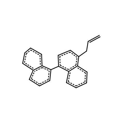 C=CCc1ccc(-c2cccc3ccccc23)c2ccccc12